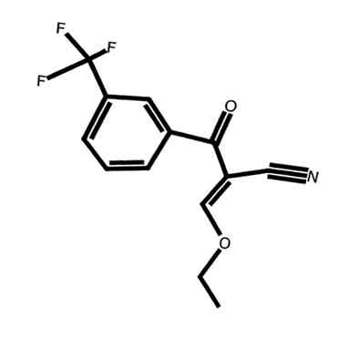 CCOC=C(C#N)C(=O)c1cccc(C(F)(F)F)c1